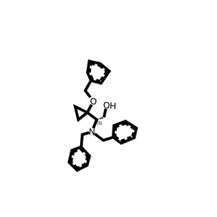 OC[C@H](N(Cc1ccccc1)Cc1ccccc1)C1(OCc2ccccc2)CC1